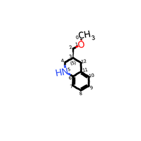 COC[C@@H]1CNc2ccccc2C1